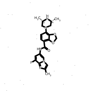 Cc1cn2cc(NC(=O)c3ccc(N4C[C@@H](C)N[C@@H](C)C4)c4c3OCO4)cc(F)c2n1